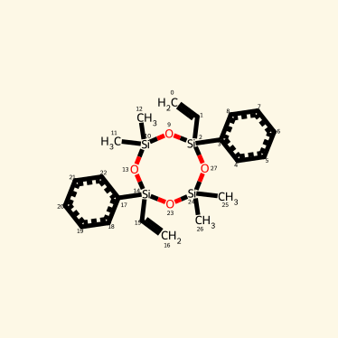 C=C[Si]1(c2ccccc2)O[Si](C)(C)O[Si](C=C)(c2ccccc2)O[Si](C)(C)O1